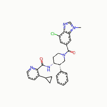 Cn1cnc2c(Cl)cc(C(=O)N3CC[C@@H](NC(=O)c4ncccc4C4CC4)[C@@H](c4ccccc4)C3)cc21